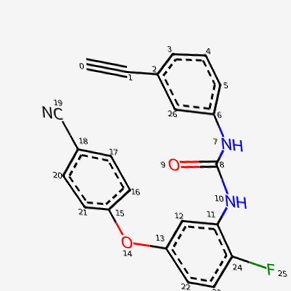 C#Cc1cccc(NC(=O)Nc2cc(Oc3ccc(C#N)cc3)ccc2F)c1